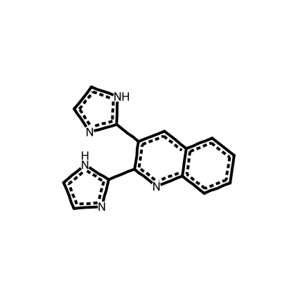 c1ccc2nc(-c3ncc[nH]3)c(-c3ncc[nH]3)cc2c1